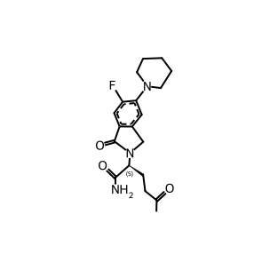 CC(=O)CC[C@@H](C(N)=O)N1Cc2cc(N3CCCCC3)c(F)cc2C1=O